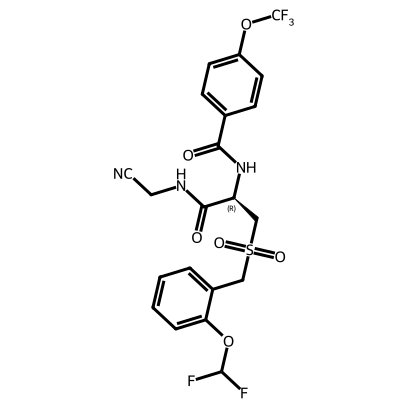 N#CCNC(=O)[C@H](CS(=O)(=O)Cc1ccccc1OC(F)F)NC(=O)c1ccc(OC(F)(F)F)cc1